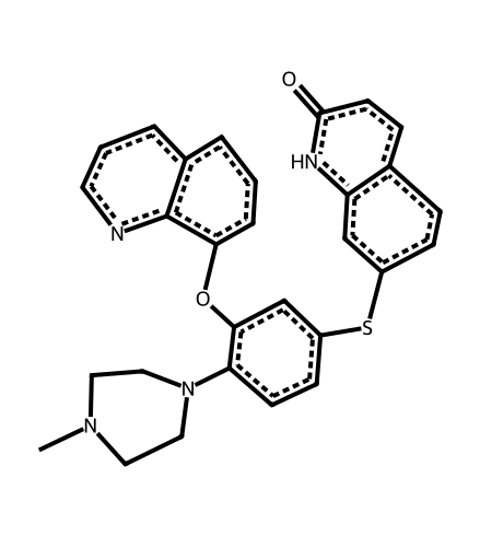 CN1CCN(c2ccc(Sc3ccc4ccc(=O)[nH]c4c3)cc2Oc2cccc3cccnc23)CC1